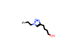 CC(C)CCn1cc(CCCCO)nn1